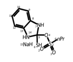 CCCS(=O)(=O)OC1(S)Nc2ccccc2N1.[NaH]